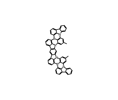 Cc1cc2c3c(c1)-n1c4cc5c(cc4c4cccc(c41)B3c1cccc3c4ccccc4n-2c13)c1cccc2c1n5-c1cc(C)cc3c1B2c1cccc2c4ccccc4n-3c12